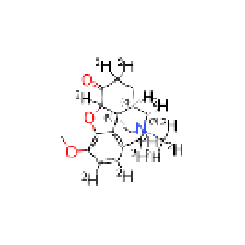 [2H]c1c([2H])c2c3c(c1OC)OC1([2H])C(=O)C([2H])([2H])C[C@@H]4[C@@]31CCN(C([2H])([2H])[2H])[C@]4([2H])C2([2H])[2H]